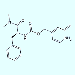 C=C/C=C(\C=C/N)COC(=O)N[C@@H](Cc1ccccc1)C(=O)N(C)C